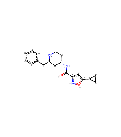 O=C(N[C@H]1CCN[C@H](Cc2ccccc2)C1)c1cc(C2CC2)on1